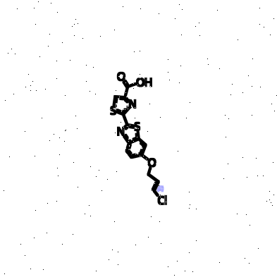 O=C(O)c1csc(-c2nc3ccc(OC/C=C/Cl)cc3s2)n1